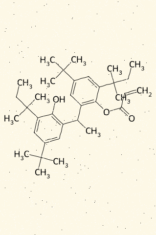 C=CC(=O)Oc1c(C(C)c2cc(C(C)(C)C)cc(C(C)(C)CC)c2O)cc(C(C)(C)C)cc1C(C)(C)CC